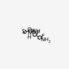 Nc1ccc(-c2ccc3c(NC(=O)c4ccsc4)n[nH]c3c2F)cc1F